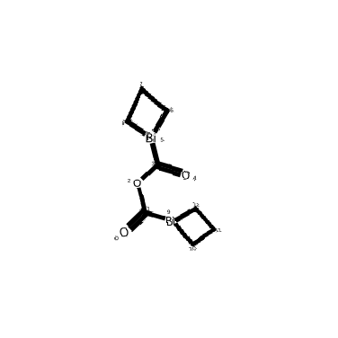 O=[C](O[C](=O)[Bi]1[CH2]C[CH2]1)[Bi]1[CH2]C[CH2]1